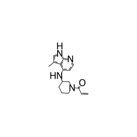 C=CC(=O)N1CCC[C@@H](Nc2ccnc3[nH]cc(C)c23)C1